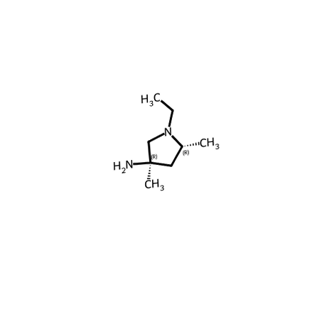 CCN1C[C@](C)(N)C[C@H]1C